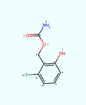 NC(=O)OCc1c(O)cccc1F